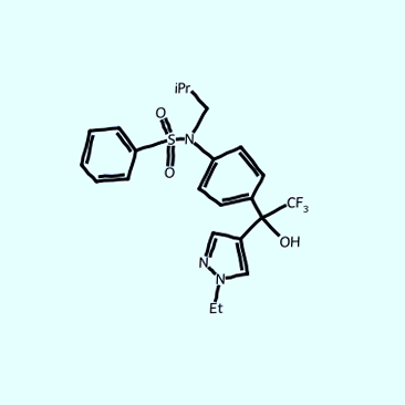 CCn1cc(C(O)(c2ccc(N(CC(C)C)S(=O)(=O)c3ccccc3)cc2)C(F)(F)F)cn1